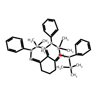 C[Si](C)(C)N(/N=C1/CCCC(=N\N(c2ccccc2)[Si](C)(C)C)/C1=N\N(c1ccccc1)[Si](C)(C)C)c1ccccc1